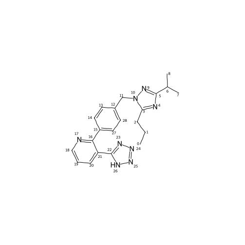 CCCc1nc(C(C)C)nn1Cc1ccc(-c2ncccc2-c2nnn[nH]2)cc1